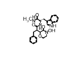 CNC(=O)[C@H](Cc1c[nH]c2ccccc12)NC(=O)C(Cc1ccccc1)C1OCCN(O)C1=O